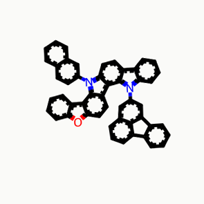 c1ccc2c(c1)-c1cccc3cc(-n4c5ccccc5c5ccc6c(c7ccc8oc9ccccc9c8c7n6-c6ccc7ccccc7c6)c54)cc-2c13